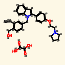 COc1cc(Cn2c(-c3ccc(OCCN4CCCC4)cc3)cc3ccccc32)ccc1CO.O=C(O)C(=O)O